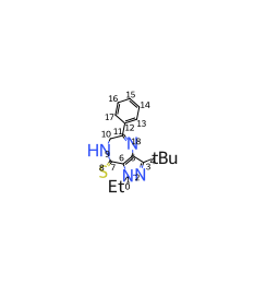 CCn1nc(C(C)(C)C)c2c1C(=S)NCC(c1ccccc1)=N2